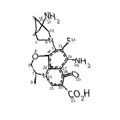 C[C@H]1COc2c(N3CC4CC4(N)C3)c(F)c(N)c3c(=O)c(C(=O)O)cn1c23